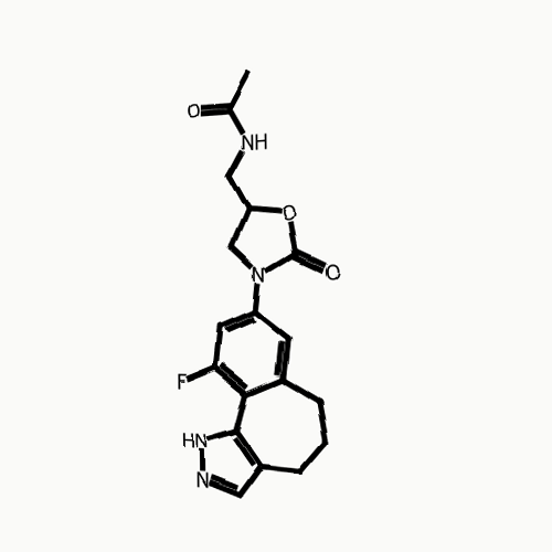 CC(=O)NCC1CN(c2cc(F)c3c(c2)CCCc2cn[nH]c2-3)C(=O)O1